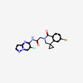 O=C(CN1CC2(CC2)c2cc(Br)ccc2C1=O)Nc1nc2ccnn2cc1F